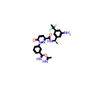 CC(=N)OC(=N)c1cccc(-n2nc(C(=O)N[C@H](C)c3cc(N)cc(C(C)(F)F)c3)ccc2=O)c1